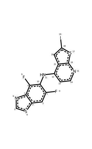 Fc1cc2scnc2c(F)c1Nc1ccnc2sc(I)cc12